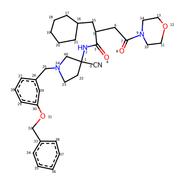 N#CC1(NC(=O)C(CC(=O)N2CCOCC2)CC2CCCCC2)CCN(Cc2cccc(OCc3ccccc3)c2)C1